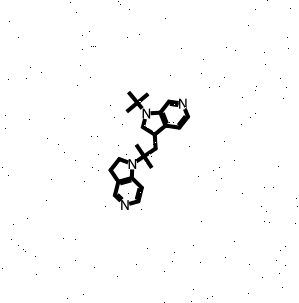 CC(C)(C)N1CC(CC(C)(C)N2CCc3cnccc32)c2ccncc21